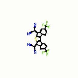 N#CC(C#N)=C1c2cc(C(F)(F)F)ccc2-c2c1sc1c2-c2ccc(C(F)(F)F)cc2C1=C(C#N)C#N